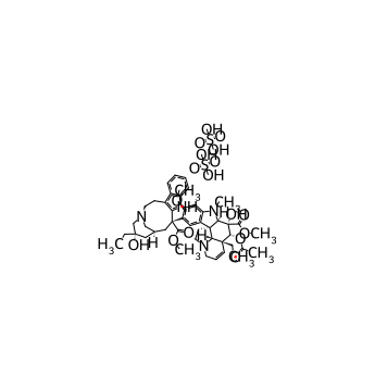 CC[C@]1(O)C[C@H]2C[N@](CCc3c([nH]c4ccccc34)[C@@](C(=O)OC)(c3cc4c(cc3OC)N(C)[C@H]3[C@@](O)(C(=O)OC)[C@H](OC(C)=O)[C@]5(CC)C=CCN6CC[C@]43[C@@H]65)C2)C1.O=S(=O)(O)O.O=S(=O)(O)O